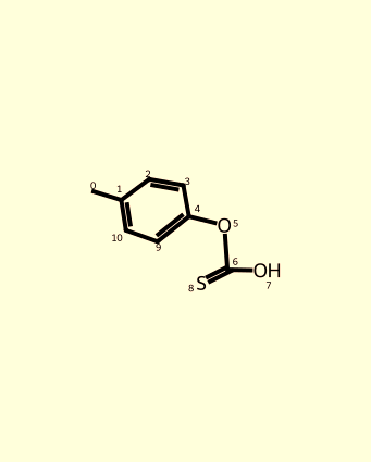 Cc1ccc(OC(O)=S)cc1